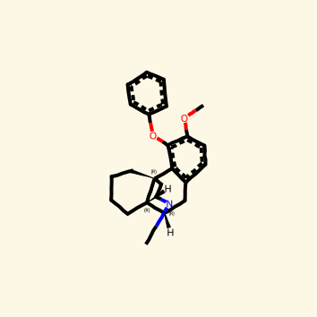 COc1ccc2c(c1Oc1ccccc1)[C@@]13CCCC[C@H]1[C@@H](C2)N(C)CC3